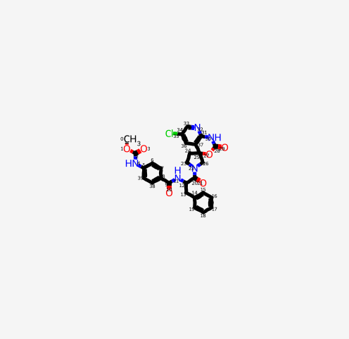 COC(=O)Nc1ccc(C(=O)NC(Cc2ccccc2)C(=O)N2CCC3(C2)OC(=O)Nc2ncc(Cl)cc23)cc1